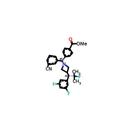 COC(=O)c1ccc([C@H](c2cccc(C#N)c2)N2CC([C@@H](c3cc(F)cc(F)c3)C(C)(C)F)C2)cc1